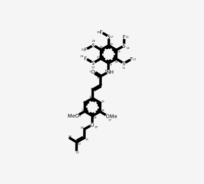 COc1cc(C=CC(=O)Nc2c(SF)c(SF)c(SF)c(SF)c2SF)cc(OC)c1OCC=C(C)C